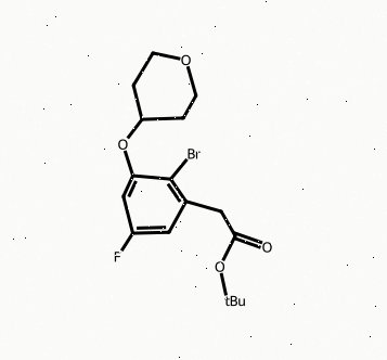 CC(C)(C)OC(=O)Cc1cc(F)cc(OC2CCOCC2)c1Br